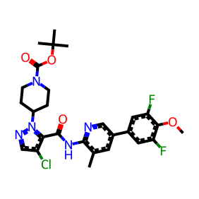 COc1c(F)cc(-c2cnc(NC(=O)c3c(Cl)cnn3C3CCN(C(=O)OC(C)(C)C)CC3)c(C)c2)cc1F